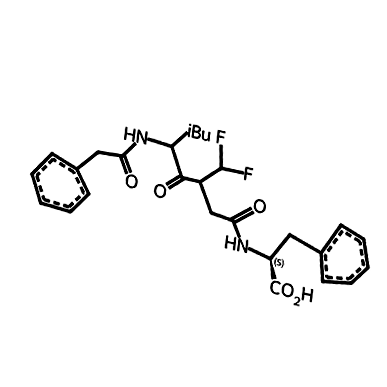 CCC(C)C(NC(=O)Cc1ccccc1)C(=O)C(CC(=O)N[C@@H](Cc1ccccc1)C(=O)O)C(F)F